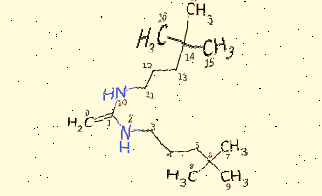 C=C(NCCCC(C)(C)C)NCCCC(C)(C)C